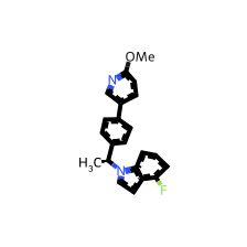 COc1ccc(-c2ccc([C@H](C)n3ccc4c(F)cccc43)cc2)cn1